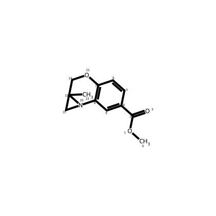 COC(=O)c1ccc2c(c1)N1CC1(C)CO2